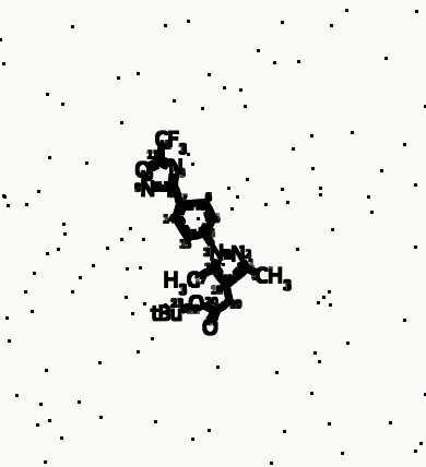 Cc1nn(-c2ccc(-c3noc(C(F)(F)F)n3)cc2)c(C)c1CC(=O)OC(C)(C)C